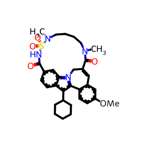 COc1ccc2c(c1)C=C1Cn3c-2c(C2CCCCC2)c2ccc(cc23)C(=O)NS(=O)(=O)N(C)CCCCN(C)C1=O